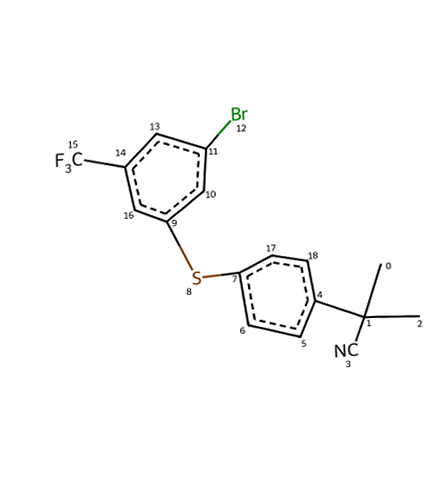 CC(C)(C#N)c1ccc(Sc2cc(Br)cc(C(F)(F)F)c2)cc1